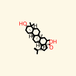 C=C(C)[C@@H]1CC[C@]2(C(=O)O)C(C)C[C@]3(C)[C@H](CC[C@@H]4[C@@]5(C)CC[C@H](O)C(C)(C)[C@@H]5CC[C@]43C)[C@@H]12